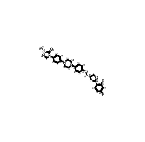 CC(C)n1ncn(-c2ccc(N3CCN(c4ccc(OC[C@@H]5CO[C@@H](c6ccc(F)cc6F)O5)cc4)CC3)cc2)c1=O